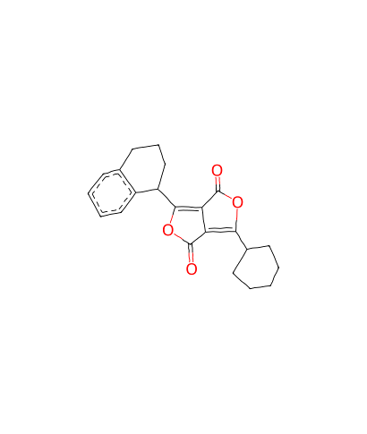 O=C1OC(C2CCCc3ccccc32)=C2C(=O)OC(C3CCCCC3)=C12